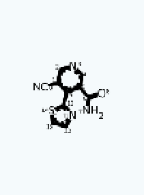 N#Cc1cncc(C(N)=O)c1-c1nccs1